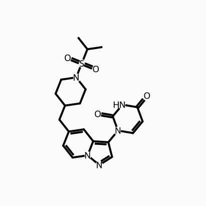 CC(C)S(=O)(=O)N1CCC(Cc2ccn3ncc(-n4ccc(=O)[nH]c4=O)c3c2)CC1